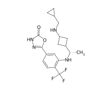 C[C@H](Nc1cc(-c2n[nH]c(=O)o2)ccc1C(F)(F)F)C1CC(NCC2CC2)C1